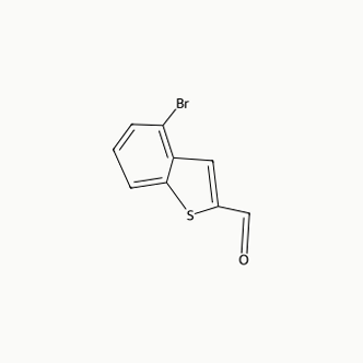 O=Cc1cc2c(Br)cccc2s1